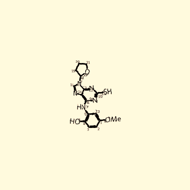 COc1ccc(O)c(Nc2nc(S)nc3c2ncn3C2CCCO2)c1